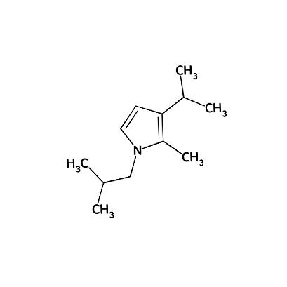 Cc1c(C(C)C)ccn1CC(C)C